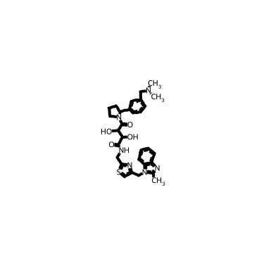 Cc1nc2ccccc2n1Cc1csc(CNC(=O)C(O)C(O)C(=O)N2CCCC2c2cccc(CN(C)C)c2)n1